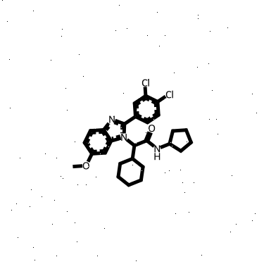 COc1ccc2nc(-c3ccc(Cl)c(Cl)c3)n(C(C(=O)NC3CCCC3)C3CCCCC3)c2c1